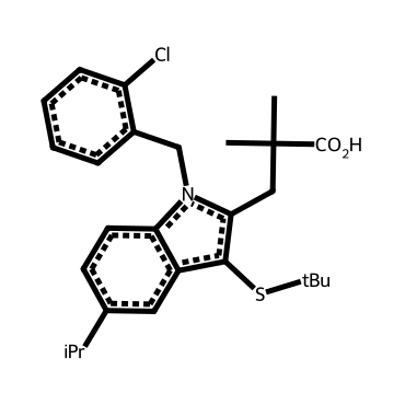 CC(C)c1ccc2c(c1)c(SC(C)(C)C)c(CC(C)(C)C(=O)O)n2Cc1ccccc1Cl